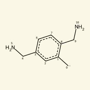 [CH2]c1cc(CN)ccc1CN